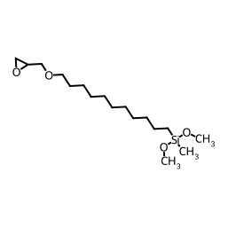 CO[Si](C)(CCCCCCCCCCCOCC1CO1)OC